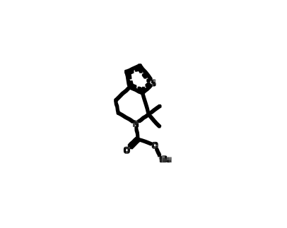 CC(C)(C)OC(=O)N1CCc2ccsc2C1(C)C